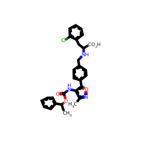 Cc1noc(-c2ccc(CNC(Cc3ccccc3Cl)C(=O)O)cc2)c1NC(=O)OC(C)c1ccccc1